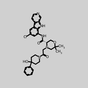 CC1(C)CN(CC(=O)N2CCC(O)(c3ccccc3)CC2)[C@H](C(=O)Nc2cc(Cl)cc3c2[nH]c2cnccc23)CO1